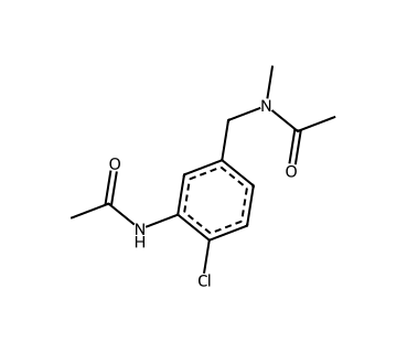 CC(=O)Nc1cc(CN(C)C(C)=O)ccc1Cl